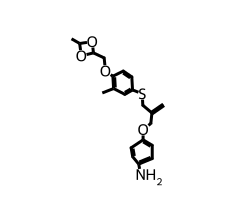 C=C(COc1ccc(N)cc1)CSc1ccc(OCC2OC(C)O2)c(C)c1